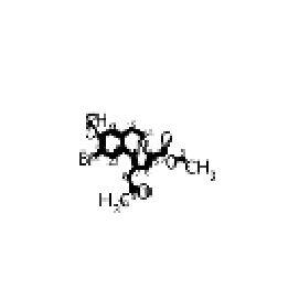 CCOC(=O)c1cc(CC(C)=O)c2n1CCc1cc(OC)c(Br)cc1-2